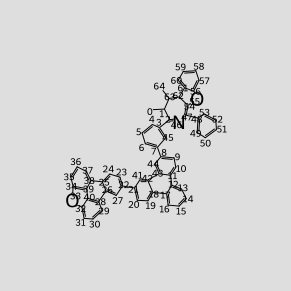 CC1C(c2cccc(-c3ccc4c5ccccc5c5ccc(-c6ccc7c(c6)c6cccc8oc9cccc7c9c86)cc5c4c3)c2)=NC(c2ccccc2)=C2Oc3ccccc3C2C1C